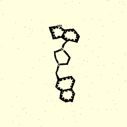 c1ccc2cc(CN3CCN(c4cccc5[nH]ccc45)CC3)ccc2c1